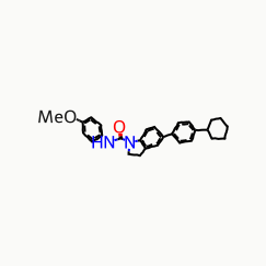 COc1ccc(NC(=O)N2CCc3cc(-c4ccc(C5CCCCC5)cc4)ccc32)cc1